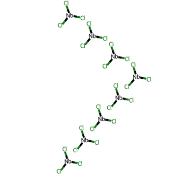 [Cl][Nb]([Cl])[Cl].[Cl][Nb]([Cl])[Cl].[Cl][Nb]([Cl])[Cl].[Cl][Nb]([Cl])[Cl].[Cl][Nb]([Cl])[Cl].[Cl][Nb]([Cl])[Cl].[Cl][Nb]([Cl])[Cl].[Cl][Nb]([Cl])[Cl]